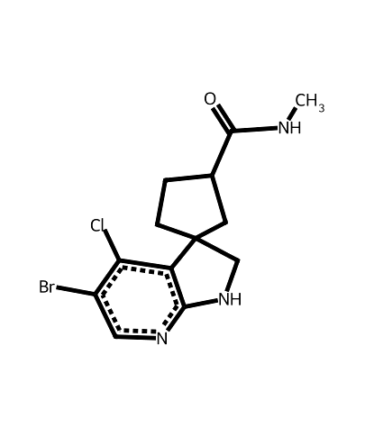 CNC(=O)C1CCC2(CNc3ncc(Br)c(Cl)c32)C1